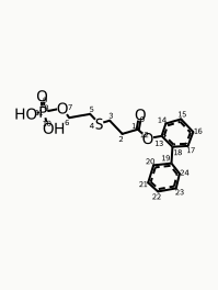 O=C(CCSCCOP(=O)(O)O)Oc1ccccc1-c1ccccc1